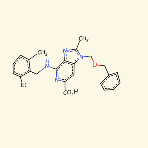 CCc1cccc(C)c1CNc1nc(C(=O)O)cc2c1nc(C)n2COCc1ccccc1